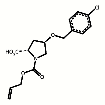 C=CCOC(=O)N1C[C@H](OCc2ccc(Cl)cc2)C[C@H]1C(=O)O